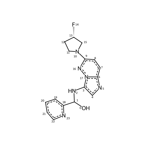 OC(Nc1cnc2ccc(N3CC[C@H](F)C3)nn12)c1ccccn1